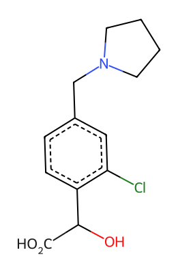 O=C(O)C(O)c1ccc(CN2CCCC2)cc1Cl